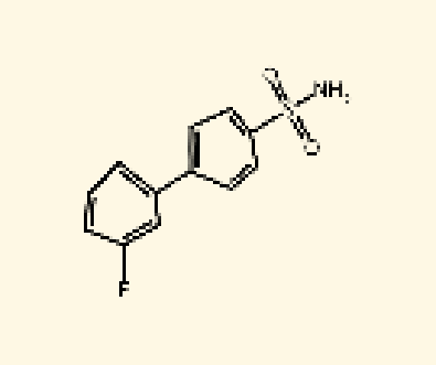 NS(=O)(=O)c1ccc(-c2cccc(F)c2)cc1